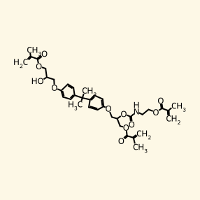 C=C(C)C(=O)OCCNC(=O)OC(COC(=O)C(=C)C)COc1ccc(C(C)(C)c2ccc(OCC(O)COC(=O)C(=C)C)cc2)cc1